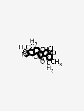 CC1(C)CC[C@]2(C(=O)Cl)CC[C@]3(C)C(C(=O)C=C4[C@@]5(C)Cc6cnoc6C(C)(C)C5CC[C@]43C)C2C1